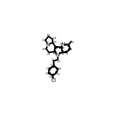 Cc1ccc2c(n1)c1c(n2CCc2ccc(Cl)cc2)CCN2CCCC12